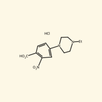 CCN1CCN(c2ccc(C(=O)O)c([N+](=O)[O-])c2)CC1.Cl